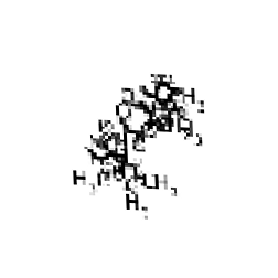 COc1ccnc(C(=O)N[C@H]2COC(=O)[C@H](Cc3ccccc3)[C@@H](OC(=O)C(C)C)[C@H](C)OC2=O)c1OC(=O)CC(C)C